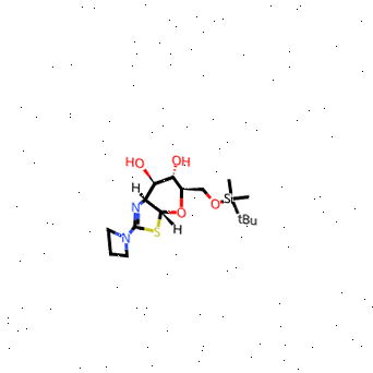 CC(C)(C)[Si](C)(C)OC[C@H]1O[C@@H]2SC(N3CCC3)=N[C@@H]2[C@@H](O)[C@@H]1O